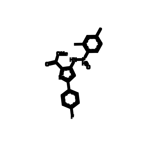 COC(=O)c1sc(-c2ccc(F)cc2)cc1N[PH](=O)c1ccc(C)cc1C